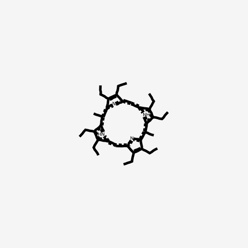 CCC1=C(CC)c2nc1cc1[nH]c(c(C)c3nc(cc4[nH]c(c2C)c(CC)c4CC)C(CC)=C3CC)c(CC)c1CC